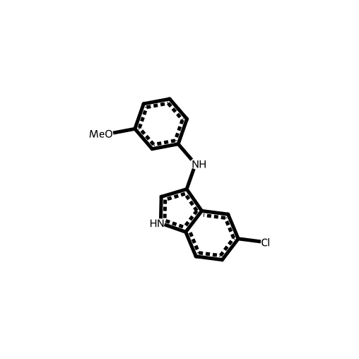 COc1cccc(Nc2c[nH]c3ccc(Cl)cc23)c1